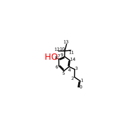 C=CCCc1ccc(O)c(C(C)(C)C)c1